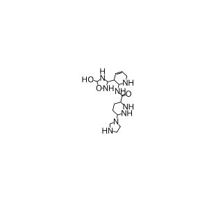 O=C(NC1NCC=CC1C1NOC(O)N1)C1CCC(N2CCNC2)NN1